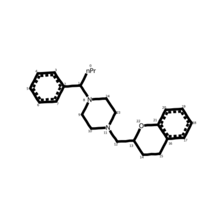 CCCC(c1ccccc1)N1CCN(CC2CCc3ccccc3O2)CC1